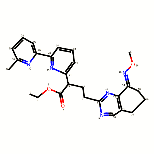 CCOC(=O)C(CCc1ncc2c(n1)/C(=N/OC)CCC2)c1cccc(-c2cccc(C)n2)n1